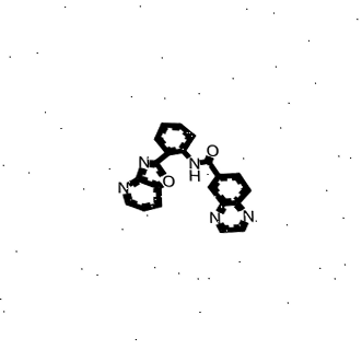 O=C(Nc1ccccc1-c1nc2ncccc2o1)c1ccc2nccnc2c1